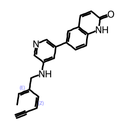 C#C/C=C\C(=C/C)CNc1cncc(-c2ccc3[nH]c(=O)ccc3c2)c1